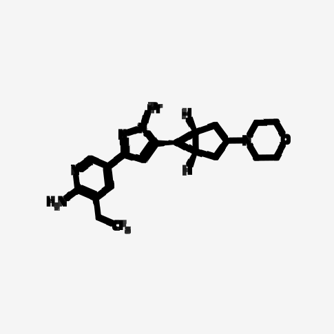 CC(C)n1nc(-c2cnc(N)c(CC(F)(F)F)c2)cc1[C@H]1[C@@H]2CC(N3CCOCC3)C[C@@H]21